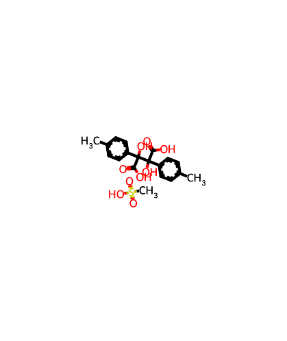 CS(=O)(=O)O.Cc1ccc(C(O)(C(=O)O)C(O)(C(=O)O)c2ccc(C)cc2)cc1